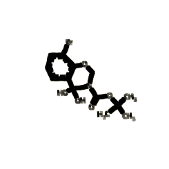 CC(C)(C)OC(=O)N1COc2c(Br)cccc2C1(O)O